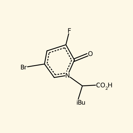 CCC(C)C(C(=O)O)n1cc(Br)cc(F)c1=O